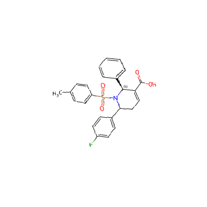 Cc1ccc(S(=O)(=O)N2C(c3ccc(F)cc3)CC=C(C(=O)O)[C@@H]2c2ccccc2)cc1